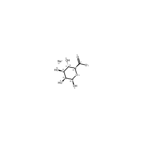 O=C([O-])[C@H]1O[C@@H](O)[C@@H](O)[C@@H](O)[C@@H]1O.[Na+]